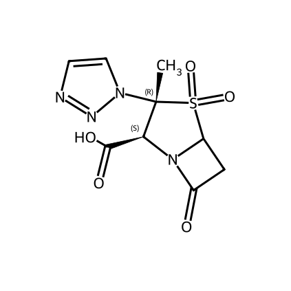 C[C@]1(n2ccnn2)[C@H](C(=O)O)N2C(=O)CC2S1(=O)=O